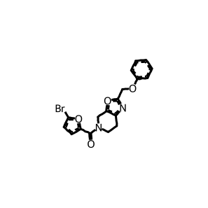 O=C(c1ccc(Br)o1)N1CCc2nc(COc3ccccc3)oc2C1